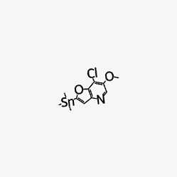 COc1cnc2c[c]([Sn]([CH3])([CH3])[CH3])oc2c1Cl